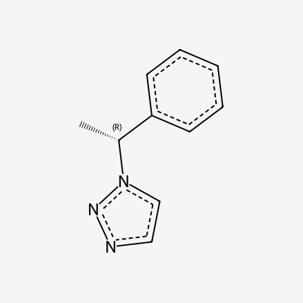 C[C@H](c1ccccc1)n1ccnn1